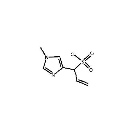 C=CC(c1cn(C)cn1)S(=O)(=O)Cl